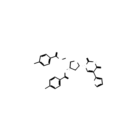 Cc1ccc(C(=O)OC[C@@H]2O[C@H](n3cc(-c4ccco4)c(=O)[nH]c3=O)C[C@H]2OC(=O)c2ccc(C)cc2)cc1